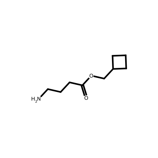 NCCCC(=O)OCC1CCC1